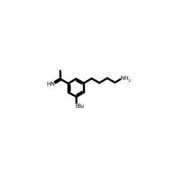 CC(=N)c1cc(CCCCN)cc(C(C)(C)C)c1